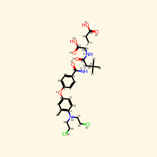 Cc1cc(Oc2ccc(C(=O)N[C@H](C(=O)N[C@@H](CCC(=O)O)C(=O)O)C(C)(C)C)cc2)ccc1N(CCCl)CCCl